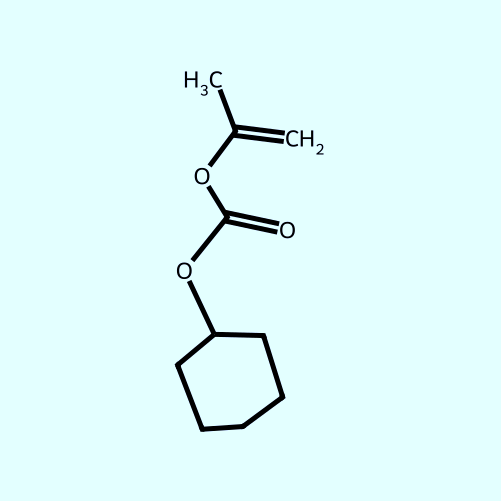 C=C(C)OC(=O)OC1CCCCC1